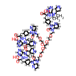 C=C(c1ccncc1)N(CC)c1cncnc1N[C@@H](Cc1ccc(-n2c(=O)n(CCOCCOCC(COCCOCCn3c(=O)n(-c4ccc(C[C@H](Nc5ncncc5N(CC)C(=O)c5ccncc5)C(=O)O)cc4)c4ncccc43)OCCOCCn3c(=O)n(-c4ccc(C[C@H](Nc5ncncc5N(CC)C(=O)c5ccncc5)C(=O)O)cc4)c4ncccc43)c3cccnc32)cc1)C(=O)O